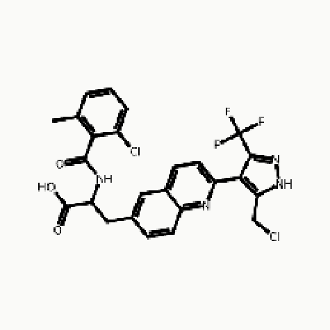 Cc1cccc(Cl)c1C(=O)NC(Cc1ccc2nc(-c3c(C(F)(F)F)n[nH]c3CCl)ccc2c1)C(=O)O